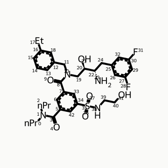 CCCN(CCC)C(=O)c1cc(C(=O)N(Cc2cccc(CC)c2)C[C@@H](O)[C@@H](N)Cc2cc(F)cc(F)c2)cc(S(=O)(=O)NCCO)c1